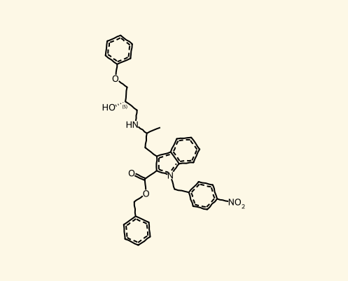 CC(Cc1c(C(=O)OCc2ccccc2)n(Cc2ccc([N+](=O)[O-])cc2)c2ccccc12)NC[C@H](O)COc1ccccc1